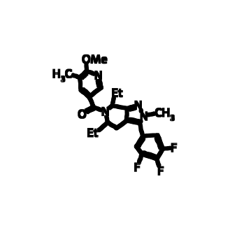 CCC1Cc2c(nn(C)c2-c2cc(F)c(F)c(F)c2)C(CC)N1C(=O)c1cnc(OC)c(C)c1